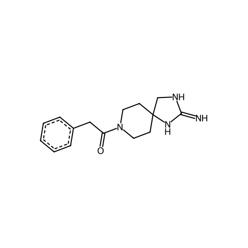 N=C1NCC2(CCN(C(=O)Cc3ccccc3)CC2)N1